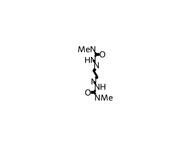 CNC(=O)NN=CC=NNC(=O)NC